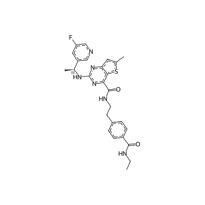 CCNC(=O)c1ccc(CCNC(=O)c2nc(N[C@@H](C)c3cncc(F)c3)nc3cc(C)sc23)cc1